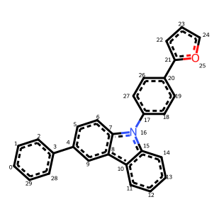 c1ccc(-c2ccc3c(c2)c2ccccc2n3-c2ccc(-c3ccco3)cc2)cc1